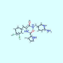 Cc1cc[nH]c1C(=O)N[C@@H](Cc1ccc(F)c(F)c1)C(=O)NCc1ccc(N)nc1